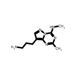 CNc1nc(C)nc2c(CCCN)cnn12